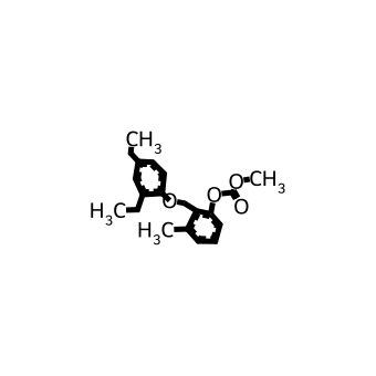 CCc1ccc(OCc2c(C)cccc2OC(=O)OC)c(CC)c1